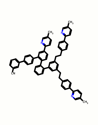 Cc1ccc(-c2ccc(CCc3cc(CCc4ccc(-c5ccc(C)cn5)cc4)cc(-c4ccccc4-c4ccc(-c5ccc(C)cn5)cc4-c4ccc(-c5cccc(C#N)c5)cc4)c3)cc2)nc1